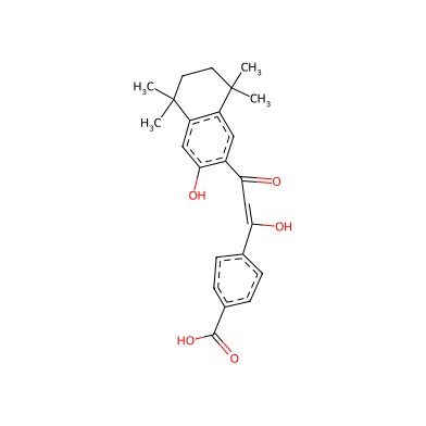 CC1(C)CCC(C)(C)c2cc(C(=O)/C=C(\O)c3ccc(C(=O)O)cc3)c(O)cc21